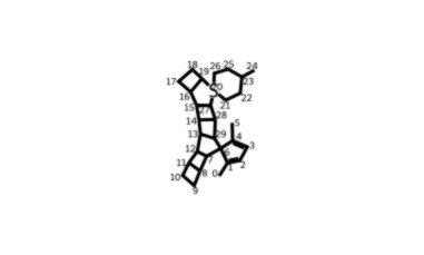 CC1=CC=C(C)C12C1C3CCC3C1C1C3C4C5CCC5S5(CCC(C)CC5)C4C3C12